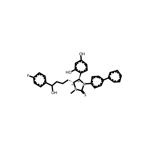 CN1C(=S)N(c2ccc(-c3ccccc3)cc2)[C@H](c2ccc(O)cc2O)[C@H]1CCCC(O)c1ccc(F)cc1